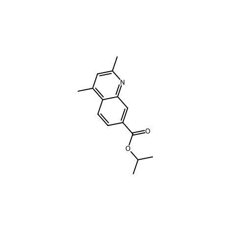 Cc1cc(C)c2ccc(C(=O)OC(C)C)cc2n1